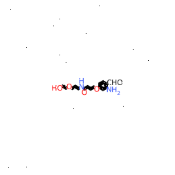 Nc1cc(OCCCC(=O)NCCCOCCO)ccc1C=O